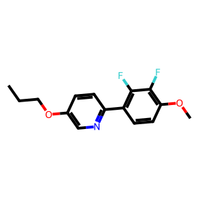 CCCOc1ccc(-c2ccc(OC)c(F)c2F)nc1